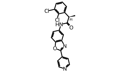 C[C@@H](C(=O)Nc1ccc2oc(-c3ccncc3)nc2c1)c1cccc(Cl)c1Cl